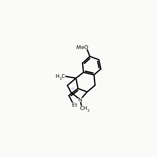 CC/C=C1\C2Cc3ccc(OC)cc3C1(C)CCN2C